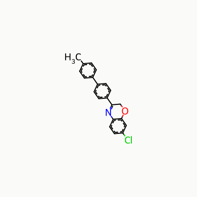 Cc1ccc(-c2ccc(C3=Nc4ccc(Cl)cc4OC3)cc2)cc1